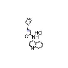 Cl.O=C(/C=C/c1ccsc1)Nc1ccnc2ccccc12